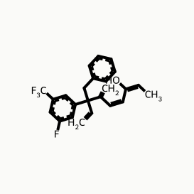 C=CC(Cc1ccccc1)(C(=C)/C=C\C(O)=C/C)c1cc(F)cc(C(F)(F)F)c1